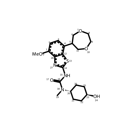 COc1ccc(C2COCCOC2)c2sc(NC(=O)N(C)[C@H]3CC[C@H](O)CC3)nc12